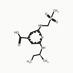 CC[C@H](C)Nc1cc(C(=O)O)cc(NCS(C)(=O)=O)n1